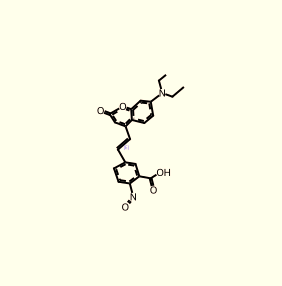 CCN(CC)c1ccc2c(/C=C/c3ccc(N=O)c(C(=O)O)c3)cc(=O)oc2c1